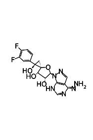 N/N=c1/nc[nH]c2c1cnn2[C@@H]1O[C@@]2(C[C@@]2(O)c2ccc(F)c(F)c2)[C@@H](O)[C@H]1O